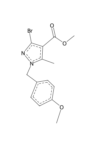 COC(=O)c1c(Br)nn(Cc2ccc(OC)cc2)c1C